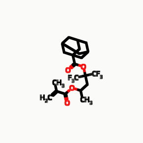 C=C(C)C(=O)OC(C)CC(OC(=O)C12CC3CC(CC(C3)C1)C2)(C(F)(F)F)C(F)(F)F